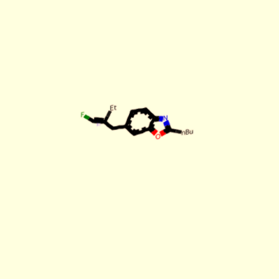 CCCCc1nc2ccc(C/C(=C/F)CC)cc2o1